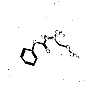 COCN(C)NC(=O)Oc1ccccc1